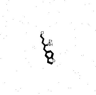 CCNC(CCCCl)Cc1ccc2occc2c1